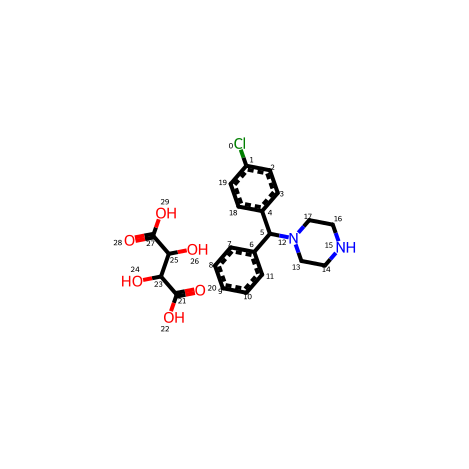 Clc1ccc(C(c2ccccc2)N2CCNCC2)cc1.O=C(O)C(O)C(O)C(=O)O